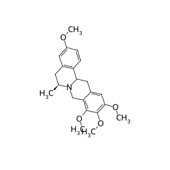 COc1ccc2c(c1)C[C@H](C)N1Cc3c(cc(OC)c(OC)c3OC)CC21